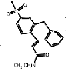 CN(O)C(=O)/C=C/c1ccc(S(C)(=O)=O)cc1Cc1ccccc1